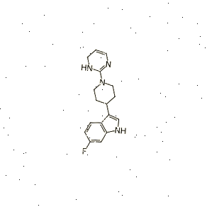 Fc1ccc2c(C3CCN(C4=NC=CCN4)CC3)c[nH]c2c1